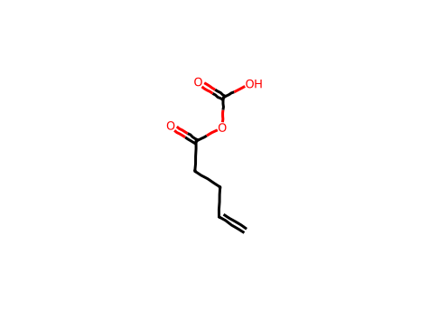 C=CCCC(=O)OC(=O)O